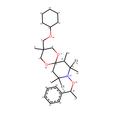 CCC1(C)CC2(OCC(C)(COC3CCCCC3)CO2)C(C)C(C)(CC)N1OC(C)c1ccccc1